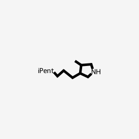 CCCC(C)CCCC1CNCC1C